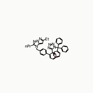 CCCc1nn2nc(CC)cc2n1Cc1ccc(-c2ccccc2-c2nnnn2C(c2ccccc2)(c2ccccc2)c2ccccc2)cc1